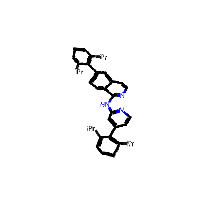 CC(C)c1cccc(C(C)C)c1-c1ccnc(Nc2nccc3cc(-c4c(C(C)C)cccc4C(C)C)ccc23)c1